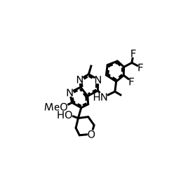 COc1nc2nc(C)nc(NC(C)c3cccc(C(F)F)c3F)c2cc1C1(O)CCOCC1